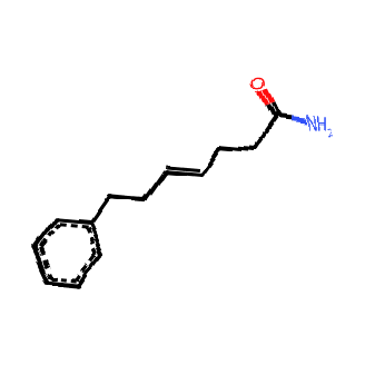 NC(=O)CCC=CCCc1ccccc1